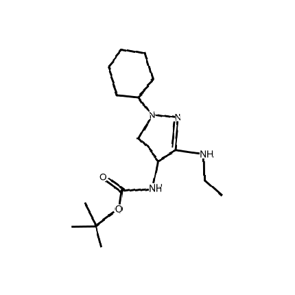 CCNC1=NN(C2CCCCC2)CC1NC(=O)OC(C)(C)C